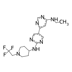 CCNc1cc(-c2cnc(NC3CCN(CC(F)(F)F)CC3)nc2)ncn1